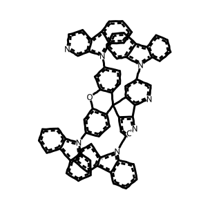 c1ccc2c(c1)c1ccccc1n2-c1ccc2c(c1)Oc1cc(-n3c4ccccc4c4ccncc43)ccc1C21c2cc(-n3c4ccccc4c4ccccc43)cnc2-c2ncc(-n3c4ccccc4c4ccccc43)cc21